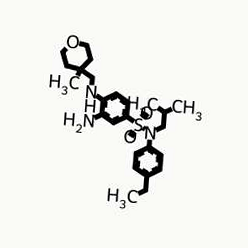 CCc1ccc(N(CC(C)C)S(=O)(=O)c2ccc(NCC3(C)CCOCC3)c(N)c2)cc1